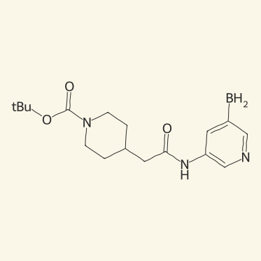 Bc1cncc(NC(=O)CC2CCN(C(=O)OC(C)(C)C)CC2)c1